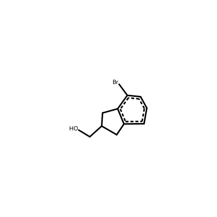 OCC1Cc2cccc(Br)c2C1